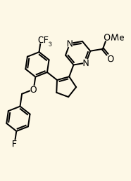 COC(=O)c1cncc(C2=C(c3cc(C(F)(F)F)ccc3OCc3ccc(F)cc3)CCC2)n1